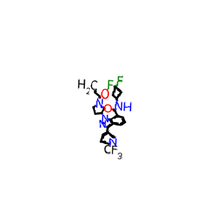 C=CC(=O)N1CCC(n2nc(-c3ccc(C(F)(F)F)nc3)c3cccc(C(=O)NC4CC(F)(F)C4)c32)C1